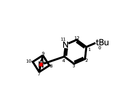 CC(C)(C)c1ccc(N2CC3CC2C3)nc1